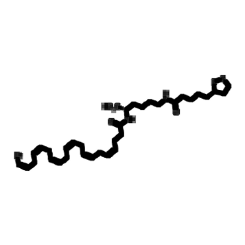 CC/C=C\C/C=C\C/C=C\C/C=C\C/C=C\C/C=C\CCC(=O)N[C@@H](CCCCNC(=O)CCCC[C@@H]1CCSS1)C(=O)O